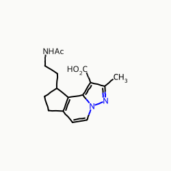 CC(=O)NCCC1CCc2ccn3nc(C)c(C(=O)O)c3c21